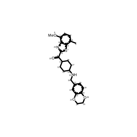 COc1ccc(C)c2sc(C(=O)C3CCC(NCc4ccc5c(c4)OCCO5)CC3)nc12